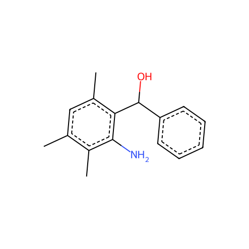 Cc1cc(C)c(C(O)c2ccccc2)c(N)c1C